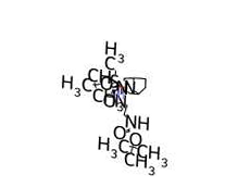 CCS/C(=N/CCNC(=O)OC(C)(C)C)N1C2CCC1CN(C(=O)OC(C)(C)C)C2